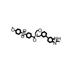 COc1ccc(S(=O)(=O)c2ccc(C(=O)N3CCOc4ccc(-c5ccc6nc(C)[nH]c6c5)cc4C3)cc2)cc1